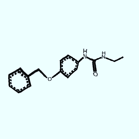 CCNC(=O)Nc1ccc(OCc2ccccc2)cc1